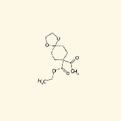 CCOC(=O)C1(C(C)=O)CCC2(CC1)OCCO2